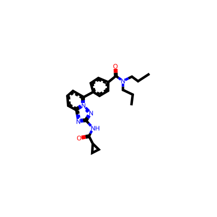 CCCN(CCC)C(=O)c1ccc(-c2cccc3nc(NC(=O)C4CC4)nn23)cc1